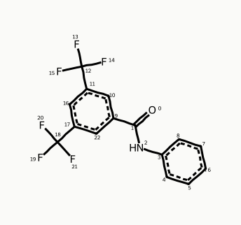 O=C(Nc1cc[c]cc1)c1cc(C(F)(F)F)cc(C(F)(F)F)c1